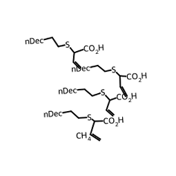 C.C=CC(SCCCCCCCCCCCC)C(=O)O.C=CC(SCCCCCCCCCCCC)C(=O)O.C=CC(SCCCCCCCCCCCC)C(=O)O.C=CC(SCCCCCCCCCCCC)C(=O)O